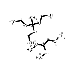 CCOC(C)(OCC)OCC.COCC(OC)OC